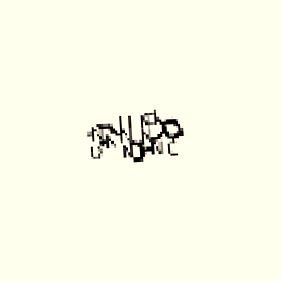 Cn1ccc(Nc2nccc3nc(-c4c(Cl)cccc4Cl)[nH]c23)nc1=O